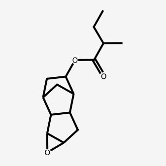 CCC(C)C(=O)OC1CC2CC1C1CC3OC3C21